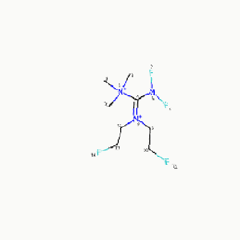 C[N+](C)(C)C(N(F)F)=[N+](CCF)CCF